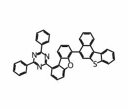 c1ccc(-c2nc(-c3ccccc3)nc(-c3cccc4oc5c(-c6cc7sc8ccccc8c7c7ccccc67)cccc5c34)n2)cc1